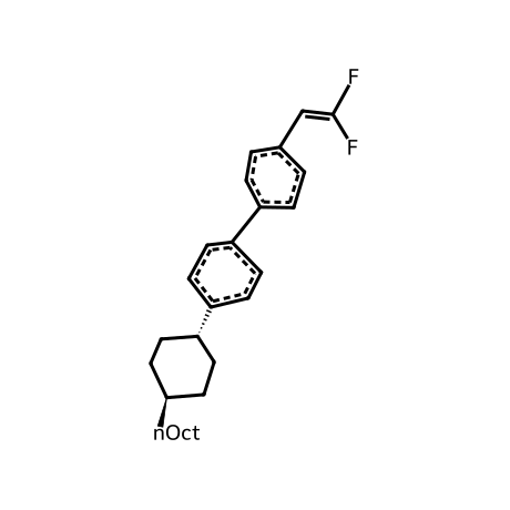 CCCCCCCC[C@H]1CC[C@H](c2ccc(-c3ccc(C=C(F)F)cc3)cc2)CC1